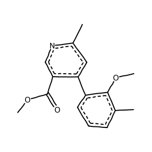 COC(=O)c1cnc(C)cc1-c1cccc(C)c1OC